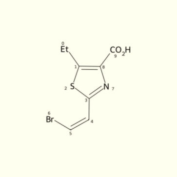 CCc1sc(/C=C\Br)nc1C(=O)O